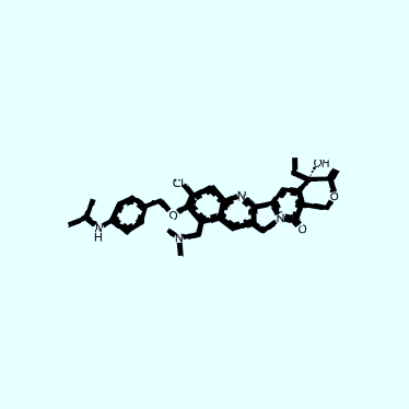 C=C1OCc2c(cc3n(c2=O)Cc2cc4c(CN(C)C)c(OCc5ccc(NC(C)C)cc5)c(Cl)cc4nc2-3)[C@@]1(O)CC